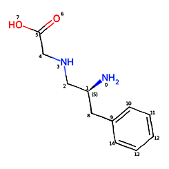 N[C@H](CNCC(=O)O)Cc1ccccc1